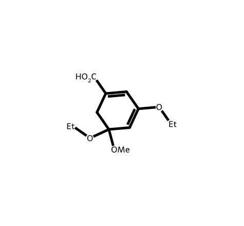 CCOC1=CC(OC)(OCC)CC(C(=O)O)=C1